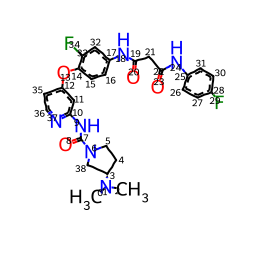 CN(C)[C@H]1CCN(C(=O)Nc2cc(Oc3ccc(NC(=O)CC(=O)Nc4ccc(F)cc4)cc3F)ccn2)C1